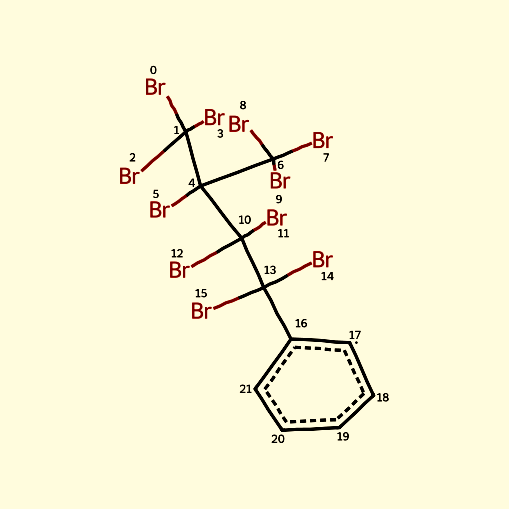 BrC(Br)(Br)C(Br)(C(Br)(Br)Br)C(Br)(Br)C(Br)(Br)c1[c]cccc1